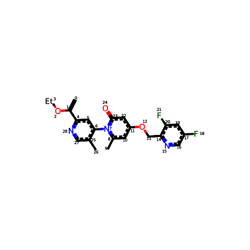 C=C(OCC)c1cc(-n2c(C)cc(OCc3ncc(F)cc3F)cc2=O)c(C)cn1